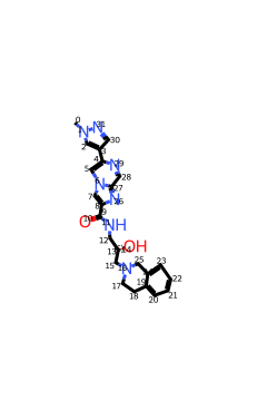 Cn1cc(-c2cn3cc(C(=O)NC[C@H](O)CN4CCc5ccccc5C4)nc3cn2)cn1